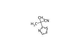 CC(C)(C#N)c1nccs1